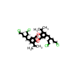 CC(C)c1cc(CC(CCCl)CCCCl)cc2c1OC1OC2Oc2c(C(C)C)cc(CC(CCCl)CCCCl)cc21